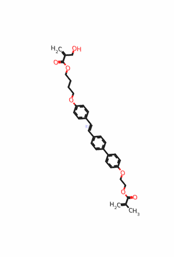 C=C(C)C(=O)OCCOc1ccc(-c2ccc(/C=C/c3ccc(OCCCCOC(=O)C(=C)CO)cc3)cc2)cc1